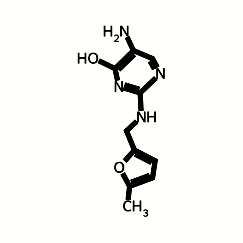 Cc1ccc(CNc2ncc(N)c(O)n2)o1